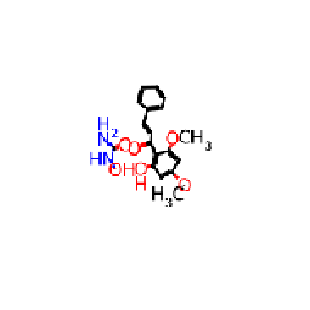 COc1cc(O)c(C(=O)C=Cc2ccccc2)c(OC)c1.NC(=O)NO